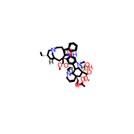 CC[C@H]1C[C@@H]2CN(CCc3c([nH]c4ccccc34)[C@@](C(=O)OC)(c3cc4c(cc3OC)N(C=O)[C@H]3[C@@](O)(C(=O)OC)[C@H](OC(C)=O)[C@]5(CC)C=CCN6CC[C@]43[C@@H]65)C2)C1